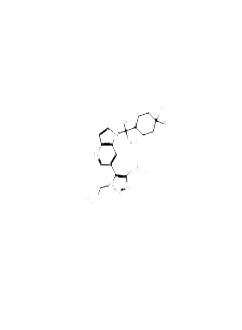 BC(B)(C1CCC(F)(F)CC1)n1ccc2ncc(-c3c(C)nnn3CC)cc21